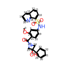 COc1cc(NS(=O)(=O)c2cccc3cccnc23)ccc1C(=O)N1CC(O)(c2ccccc2)C1